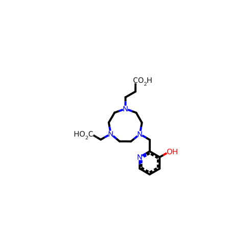 O=C(O)CCN1CCN(CC(=O)O)CCN(Cc2ncccc2O)CC1